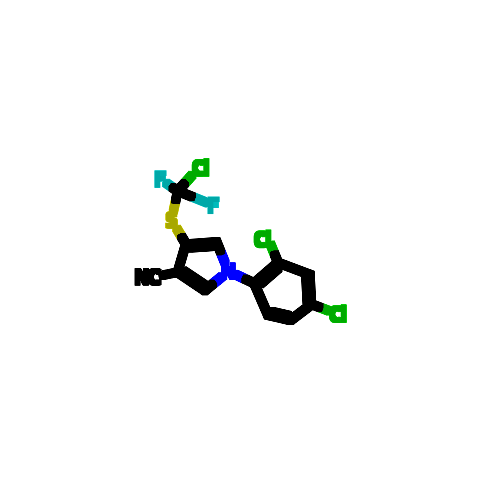 N#Cc1cn(-c2ccc(Cl)cc2Cl)cc1SC(F)(F)Cl